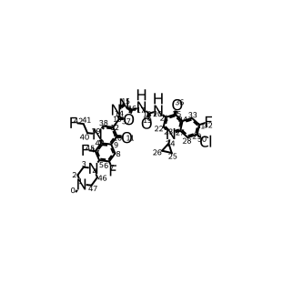 CN1CCN(c2c(F)cc3c(=O)c(-c4nnc(NC(=O)Nc5cn(C6CC6)c6cc(Cl)c(F)cc6c5=O)o4)cn(CCF)c3c2F)CC1